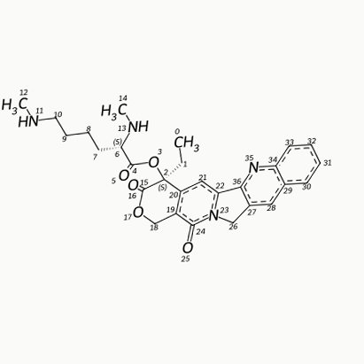 CC[C@@]1(OC(=O)[C@H](CCCCNC)NC)C(=O)OCc2c1cc1n(c2=O)Cc2cc3ccccc3nc2-1